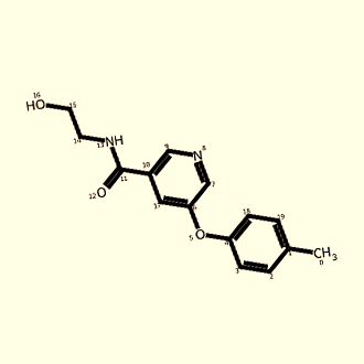 Cc1ccc(Oc2cncc(C(=O)NCCO)c2)cc1